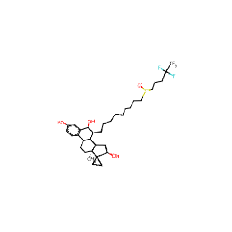 C[C@]12CCC3c4ccc(O)cc4[C@@H](O)[C@@H](CCCCCCCCC[S+]([O-])CCCC(F)(F)C(F)(F)F)C3C1C[C@@H](O)C21CC1